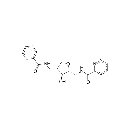 O=C(NC[C@@H]1CO[C@H](CNC(=O)c2cccnn2)[C@H]1O)c1ccccc1